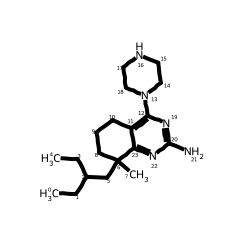 CCC(CC)CC1(C)CCCc2c(N3CCNCC3)nc(N)nc21